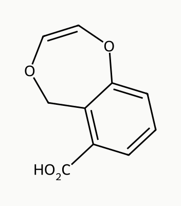 O=C(O)c1cccc2c1COC=CO2